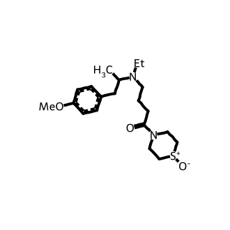 CCN(CCCC(=O)N1CC[S+]([O-])CC1)C(C)Cc1ccc(OC)cc1